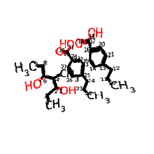 CCC(O)C(C)C(O)CC.CCCc1ccc(C(=O)O)cc1.CCCc1ccc(C(=O)O)cc1